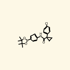 CC1(C)OB(c2ccc(NC(=O)C3(c4ccc(Cl)cc4)CC3)cc2)OC1(C)C